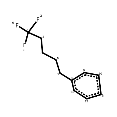 FC(F)(F)CCCCc1cc[c]cc1